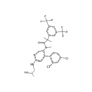 CC(O)CNc1cc(-c2ccc(Cl)cc2Cl)c(N(C)C(=O)C(C)(C)c2cc(C(F)(F)F)cc(C(F)(F)F)c2)cn1